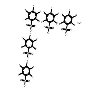 O=S(=O)([O-])c1c(F)c(F)c(F)c(F)c1F.O=S(=O)([O-])c1c(F)c(F)c(F)c(F)c1F.O=S(=O)([O-])c1c(F)c(F)c(F)c(F)c1F.O=S(=O)([O-])c1c(F)c(F)c(F)c(F)c1F.O=S(=O)([O-])c1c(F)c(F)c(F)c(F)c1F.[Ta+5]